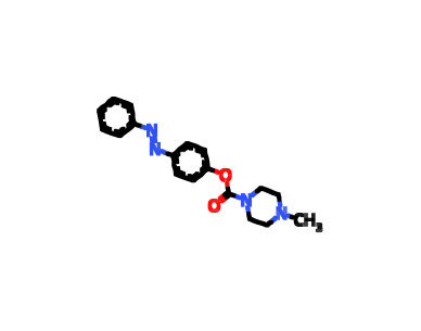 CN1CCN(C(=O)Oc2ccc(/N=N/c3ccccc3)cc2)CC1